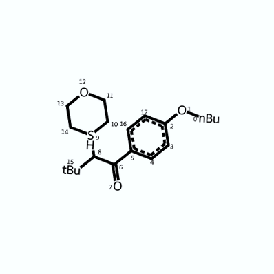 CCCCOc1ccc(C(=O)C([SH]2CCOCC2)C(C)(C)C)cc1